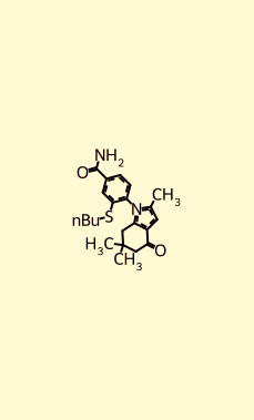 CCCCSc1cc(C(N)=O)ccc1-n1c(C)cc2c1CC(C)(C)CC2=O